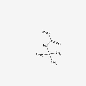 COC(=O)NC(C)(C)C=O